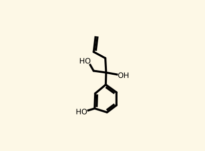 C=CCC(O)(CO)c1cccc(O)c1